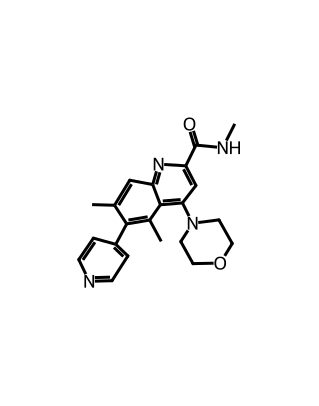 CNC(=O)c1cc(N2CCOCC2)c2c(C)c(-c3ccncc3)c(C)cc2n1